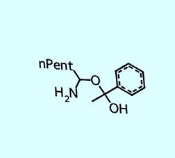 CCCCCC(N)OC(C)(O)c1ccccc1